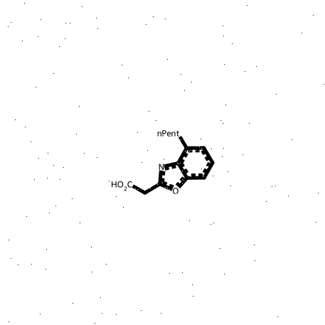 CCCCCc1cccc2oc(CC(=O)O)nc12